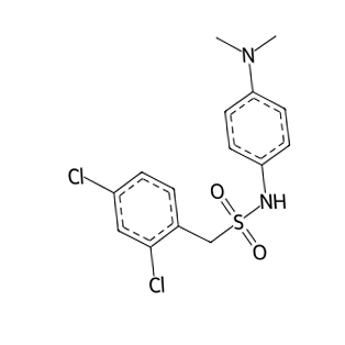 CN(C)c1ccc(NS(=O)(=O)Cc2ccc(Cl)cc2Cl)cc1